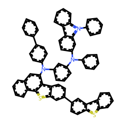 c1ccc(-c2ccc(N(c3cccc(N(c4ccccc4)c4ccc5c6ccccc6n(-c6ccccc6)c5c4)c3)c3cc4ccccc4c4sc5cc(-c6ccc7sc8ccccc8c7c6)ccc5c34)cc2)cc1